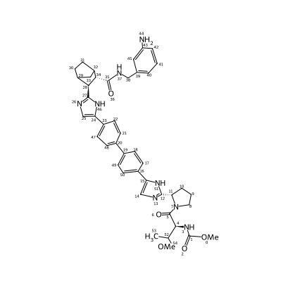 COC(=O)N[C@H](C(=O)N1CCC[C@H]1c1ncc(-c2ccc(-c3ccc(-c4cnc([C@H]5C6CCC(C6)[C@@H]5C(=O)NCc5cccc(N)c5)[nH]4)cc3)cc2)[nH]1)C(C)OC